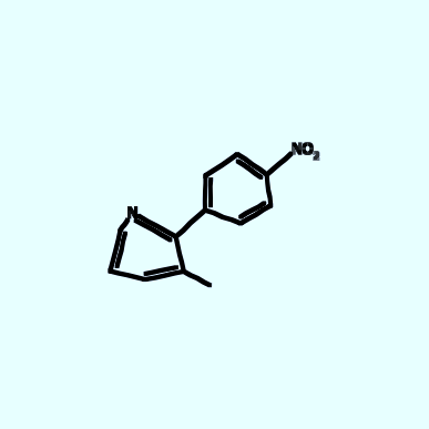 Cc1cccnc1-c1ccc([N+](=O)[O-])cc1